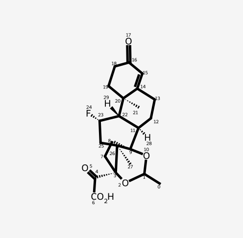 CC1O[C@@]2(C(=O)C(=O)O)CC[C@@]3(O1)[C@@H]1CCC4=CC(=O)CC[C@]4(C)[C@H]1[C@@H](F)C[C@]23C